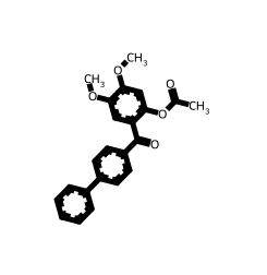 COc1cc(OC(C)=O)c(C(=O)c2ccc(-c3ccccc3)cc2)cc1OC